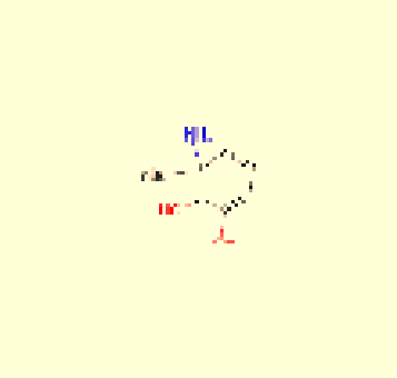 CCCCC1(N)C=CC=C(O)C1O